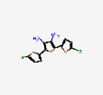 Nc1c(-c2ccc(Br)s2)sc(-c2ccc(Br)s2)c1N